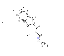 C/C=C/CSc1nc2ccccc2s1